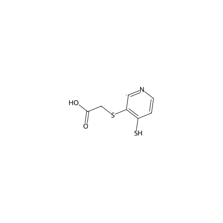 O=C(O)CSc1[c]nccc1S